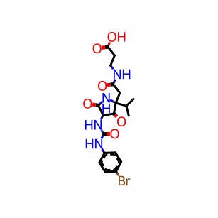 CC(C)C1(CC(=O)NCCC(=O)O)NC(=O)C(NC(=O)Nc2ccc(Br)cc2)C1=O